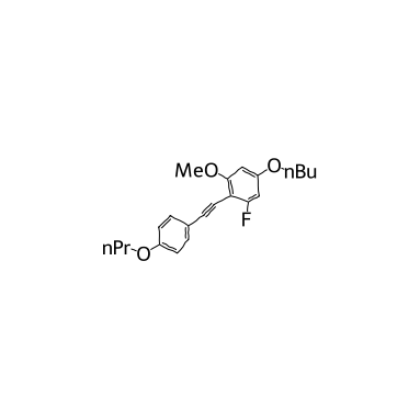 CCCCOc1cc(F)c(C#Cc2ccc(OCCC)cc2)c(OC)c1